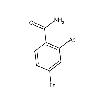 CCc1ccc(C(N)=O)c(C(C)=O)c1